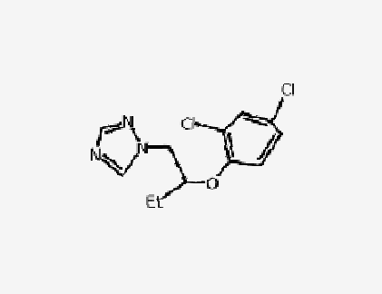 CCC(Cn1cncn1)Oc1ccc(Cl)cc1Cl